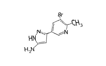 Cc1ncc(-c2cc(N)[nH]n2)cc1Br